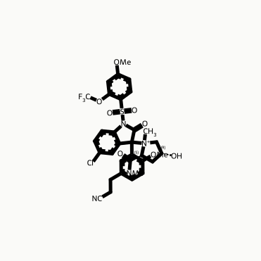 CNC(=O)[C@@H]1C[C@@H](O)C[N+]1(C)C1(c2cc(CCC#N)ccc2OC)C(=O)N(S(=O)(=O)c2ccc(OC)cc2OC(F)(F)F)c2ccc(Cl)cc21